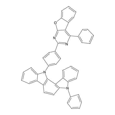 c1ccc(-c2nc(-c3ccc(-n4c5ccccc5c5ccc6c(c7ccccc7n6-c6ccccc6)c54)cc3)nc3oc4ccccc4c23)cc1